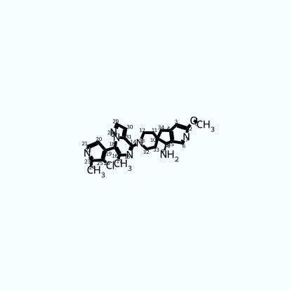 COc1cc2c(cn1)[C@@H](N)C1(CCN(c3nc(C)c(-c4ccnc(C)c4Cl)n4nccc34)CC1)C2